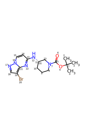 CC(C)(C)OC(=O)N1CCC[C@H](Nc2ccn3ncc(Br)c3n2)C1